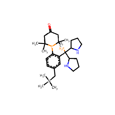 CC1(C)CC(=O)CC(C)(C)P1c1ccc(C[Si](C)(C)C)cc1C(P)(C1CCCN1)C1CCCN1